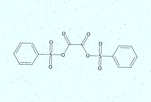 O=C(OS(=O)(=O)c1ccccc1)C(=O)OS(=O)(=O)c1ccccc1